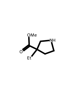 CCC1(C(=O)OC)CCNC1